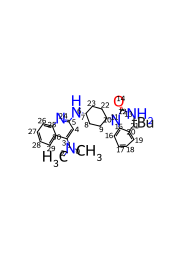 CN(C)c1cc(N[C@H]2CC[C@@H](N(C(N)=O)c3ccccc3C(C)(C)C)CC2)nc2ccccc12